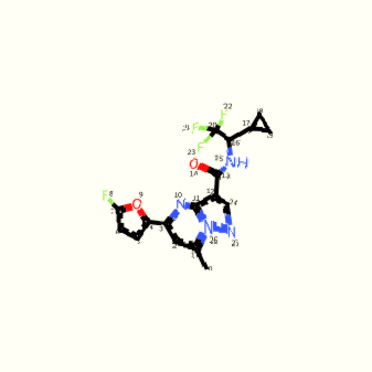 Cc1cc(-c2ccc(F)o2)nc2c(C(=O)NC(C3CC3)C(F)(F)F)cnn12